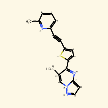 Cc1cccc(C#Cc2ccc(-c3nc4ccnn4cc3C(=O)O)s2)n1